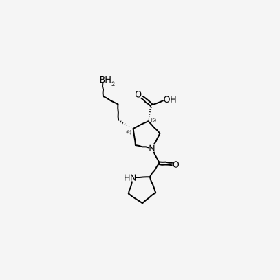 BCCC[C@H]1CN(C(=O)C2CCCN2)C[C@H]1C(=O)O